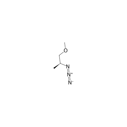 COC[C@H](C)N=[N+]=[N-]